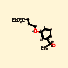 CCOC(=O)CCCOc1cccc(C(=O)CC)c1